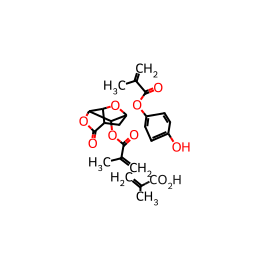 C=C(C)C(=O)O.C=C(C)C(=O)OC1C2CC3C(=O)OC1C3O2.C=C(C)C(=O)Oc1ccc(O)cc1